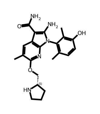 Cc1cc2c(C(N)=O)c(N)n(-c3c(C)ccc(O)c3C)c2nc1OC[C@@H]1CCCN1